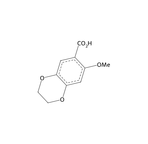 COc1cc2c(cc1C(=O)O)OCCO2